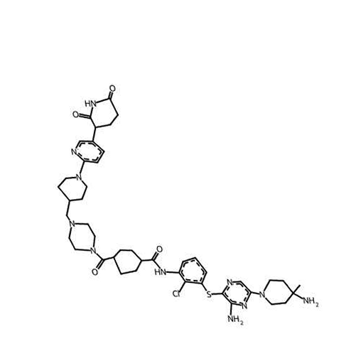 CC1(N)CCN(c2cnc(Sc3cccc(NC(=O)C4CCC(C(=O)N5CCN(CC6CCN(c7ccc(C8CCC(=O)NC8=O)cn7)CC6)CC5)CC4)c3Cl)c(N)n2)CC1